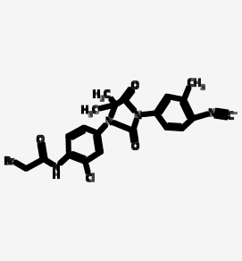 [C-]#[N+]c1ccc(N2C(=O)N(c3ccc(NC(=O)CBr)c(Cl)c3)C(C)(C)C2=O)cc1C